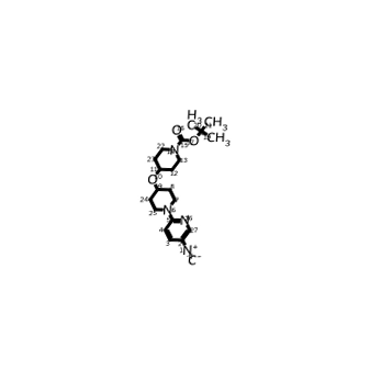 [C-]#[N+]c1ccc(N2CCC(OC3CCN(C(=O)OC(C)(C)C)CC3)CC2)nc1